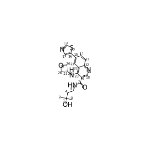 CC(C)(O)CCNC(=O)c1cnc2ccc(-c3cncs3)cc2c1NC1COC1